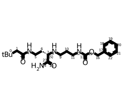 CC(C)(C)CC(=O)NCC[C@H](NCCCNC(=O)OCc1ccccc1)C(N)=O